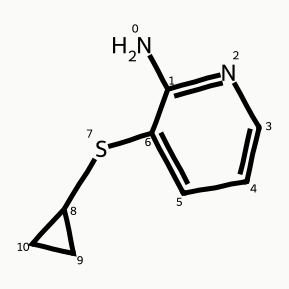 Nc1ncccc1SC1CC1